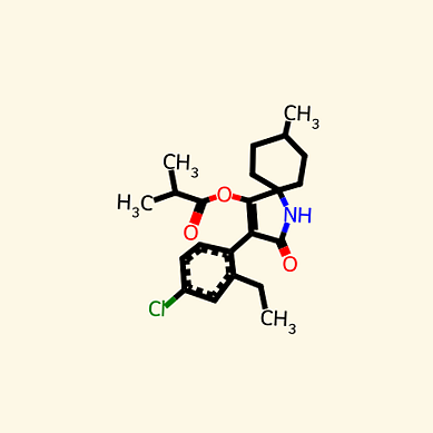 CCc1cc(Cl)ccc1C1=C(OC(=O)C(C)C)C2(CCC(C)CC2)NC1=O